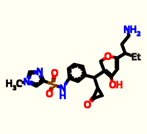 CCC(CCN)C1=CC(O)=C(C(c2cccc(NS(=O)(=O)c3cn(C)cn3)c2)C2CC2=O)CO1